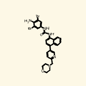 Nc1c(Br)cc(NC(=O)Nc2ccc(-c3ccc(CN4CCOCC4)nc3)c3ccccc23)cc1Br